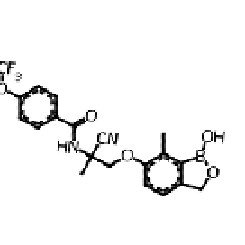 Cc1c(OCC(C)(C#N)NC(=O)c2ccc(OC(F)(F)F)cc2)ccc2c1B(O)OC2